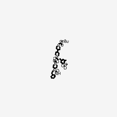 CCCCOC(=O)CN1CCC(C2CCN(C(=O)[C@@H](Cc3cc(C)c4c(c3)oc(=O)n4C)OC(=O)N3CCC(N4CCc5ccccc5NC4=O)CC3)CC2)CC1